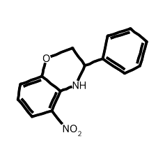 O=[N+]([O-])c1cccc2c1NC(c1ccccc1)CO2